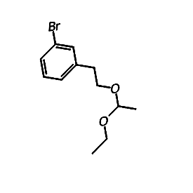 CCOC(C)OCCc1cccc(Br)c1